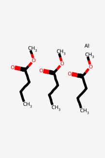 CCCC(=O)OC.CCCC(=O)OC.CCCC(=O)OC.[Al]